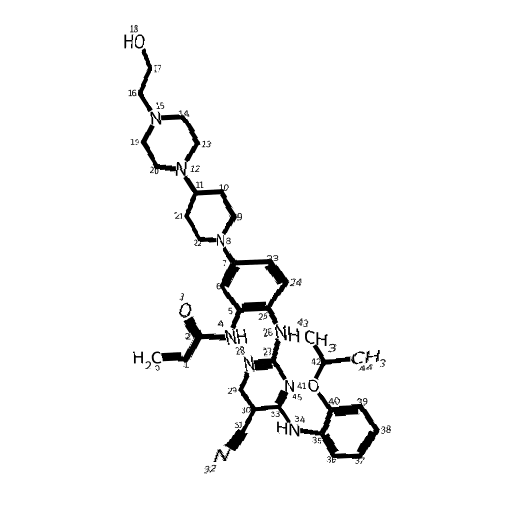 C=CC(=O)Nc1cc(N2CCC(N3CCN(CCO)CC3)CC2)ccc1NC1=NCC(C#N)C(Nc2ccccc2OC(C)C)=N1